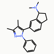 Cc1nn(-c2ccccc2)c(-c2ccc3c(c2)C(N(C)C)CC3)c1C